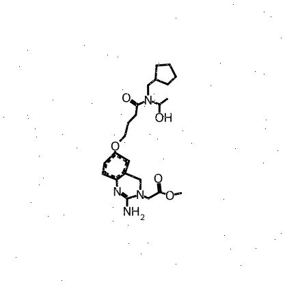 COC(=O)CN1Cc2cc(OCCCC(=O)N(CC3CCCC3)C(C)O)ccc2N=C1N